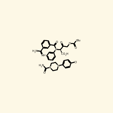 CC(C)(C)C(=O)OCC(=O)[C@@H](C(=O)O)N(C(=O)c1cccc(C(=N)N)c1)c1ccccc1.NC(=O)N1CCN(c2ccc(Cl)cc2)CC1